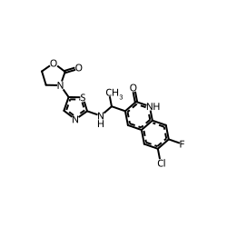 CC(Nc1ncc(N2CCOC2=O)s1)c1cc2cc(Cl)c(F)cc2[nH]c1=O